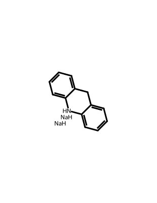 [NaH].[NaH].c1ccc2c(c1)Cc1ccccc1N2